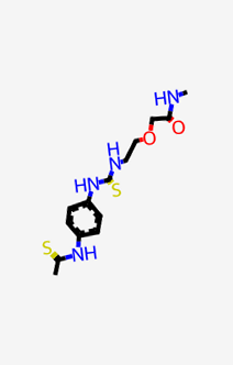 CNC(=O)COCCNC(=S)Nc1ccc(NC(C)=S)cc1